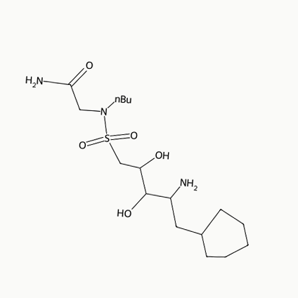 CCCCN(CC(N)=O)S(=O)(=O)CC(O)C(O)C(N)CC1CCCCC1